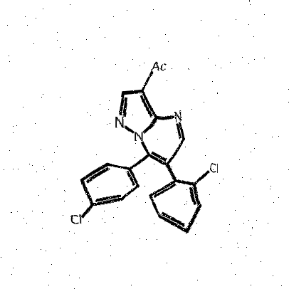 CC(=O)c1cnn2c(-c3ccc(Cl)cc3)c(-c3ccccc3Cl)cnc12